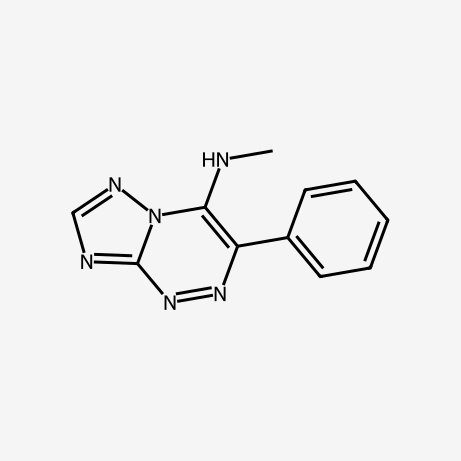 CNc1c(-c2ccccc2)nnc2ncnn12